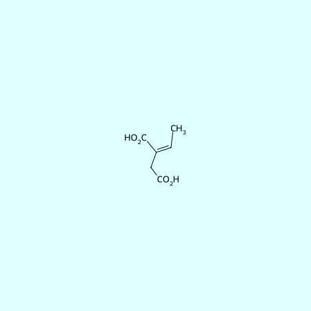 CC=C(CC(=O)O)C(=O)O